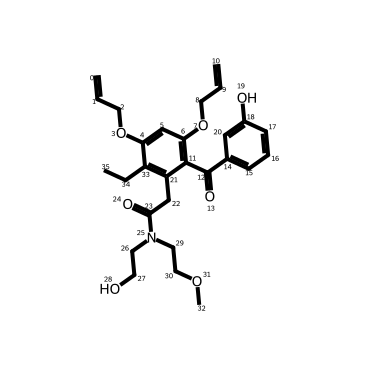 C=CCOc1cc(OCC=C)c(C(=O)c2cccc(O)c2)c(CC(=O)N(CCO)CCOC)c1CC